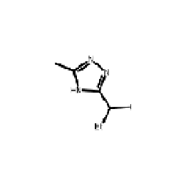 CCC(I)c1nnc(C)[nH]1